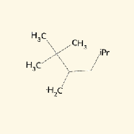 [CH2]C(CC(C)C)C(C)(C)C